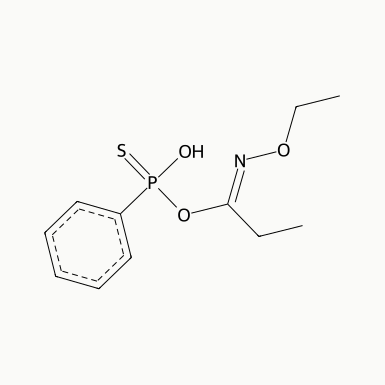 CCON=C(CC)OP(O)(=S)c1ccccc1